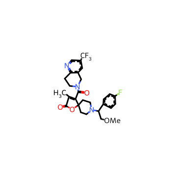 COCC(c1ccc(F)cc1)N1CCC2(CC1)OC(=O)C(C)=C2C(=O)N1CCc2ncc(C(F)(F)F)cc2C1